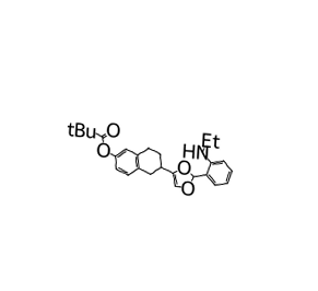 CCNc1ccccc1C1OC=C(C2CCc3cc(OC(=O)C(C)(C)C)ccc3C2)O1